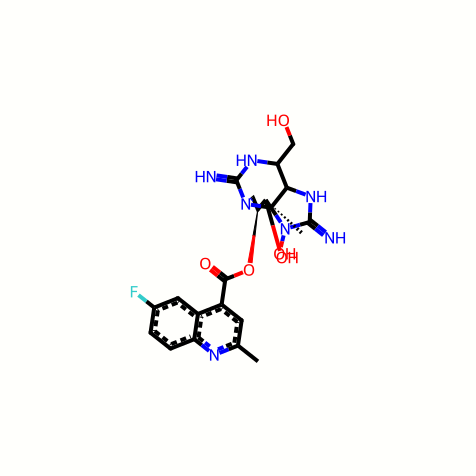 Cc1cc(C(=O)O[C@H]2CN3C(=N)NC(CO)C4NC(=N)N(O)C43[C@@]2(C)O)c2cc(F)ccc2n1